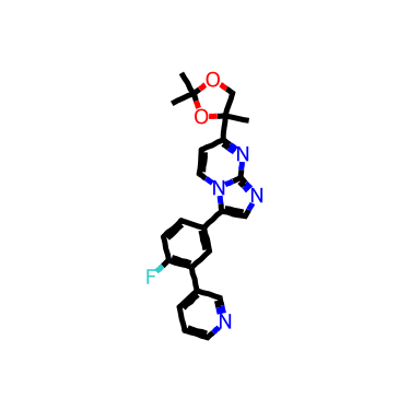 CC1(C)OCC(C)(c2ccn3c(-c4ccc(F)c(-c5cccnc5)c4)cnc3n2)O1